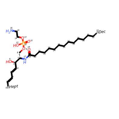 CCCCCCC/C=C/C=C/[C@@H](O)[C@H](COP(=O)(O)OCCN)NC(=O)CCCCCCCCCCCCCCCCCCCCCCC